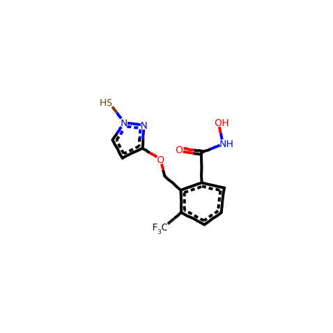 O=C(NO)c1cccc(C(F)(F)F)c1COc1ccn(S)n1